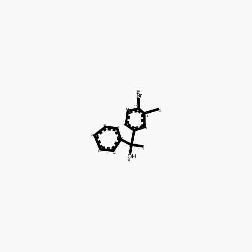 Cc1cc(C(C)(O)c2ccccc2)ccc1Br